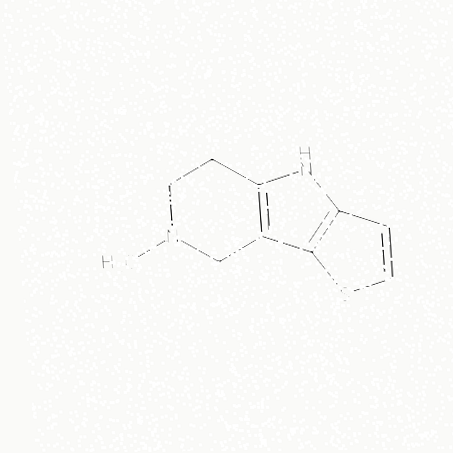 CN1CCc2[nH]c3ccsc3c2C1